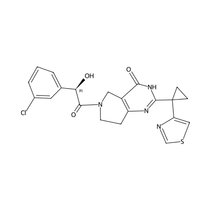 O=C([C@H](O)c1cccc(Cl)c1)N1CCc2nc(C3(c4cscn4)CC3)[nH]c(=O)c2C1